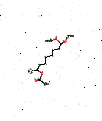 CCCCCCOC(CCCCCCC(C)OC(=O)C(C)(C)C)OCCCCCC